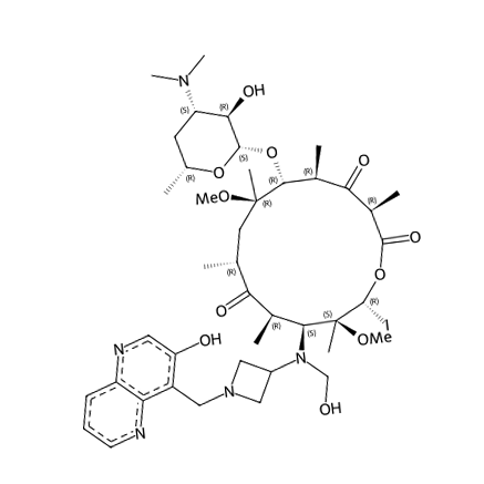 CO[C@@]1(C)[C@@H](N(CO)C2CN(Cc3c(O)cnc4cccnc34)C2)[C@@H](C)C(=O)[C@H](C)C[C@@](C)(OC)[C@H](O[C@@H]2O[C@H](C)C[C@H](N(C)C)[C@H]2O)[C@@H](C)C(=O)[C@@H](C)C(=O)O[C@@H]1I